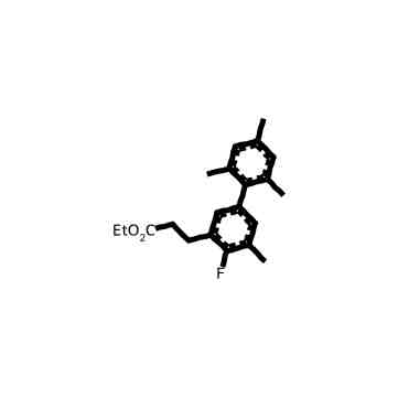 CCOC(=O)CCc1cc(-c2c(C)cc(C)cc2C)cc(C)c1F